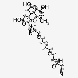 COC1OC(Cn2cc(COCCOCCOCCNC(=O)CC#N)nn2)C(CC(=O)O)C(CC(=O)O)C1CC(=O)O